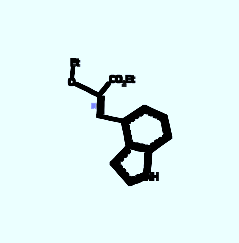 CCOC(=O)/C(=C\c1cccc2[nH]ccc12)OCC